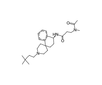 CC(=O)N(C)CCC(=O)N[C@H]1CCC2(CCN(CCC(C)(C)C)CC2)c2ccccc21